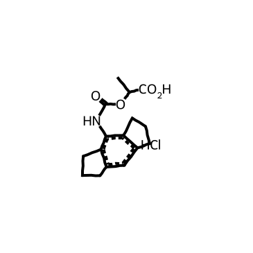 CC(OC(=O)Nc1c2c(cc3c1CCC3)CCC2)C(=O)O.Cl